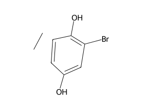 CC.Oc1ccc(O)c(Br)c1